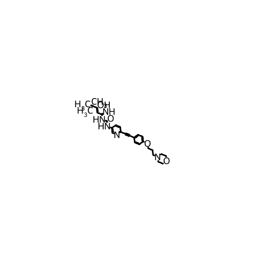 CC(C)(C)/C(O)=C/C(=N)NC(=O)Nc1ccc(C#Cc2ccc(OCCCN3CCOCC3)cc2)nc1